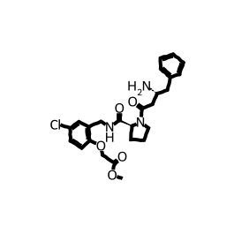 COC(=O)COc1ccc(Cl)cc1CNC(=O)[C@@H]1CCCN1C(=O)C[C@H](N)Cc1ccccc1